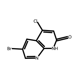 O=c1cc(Cl)c2cc(Br)cnc2[nH]1